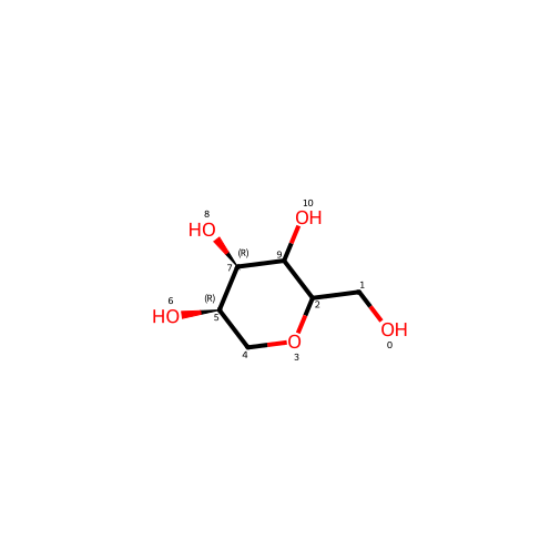 OCC1OC[C@@H](O)[C@@H](O)C1O